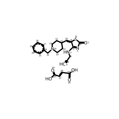 C#CCNC1=NC(=O)SC1=CC1CCN(Cc2ccccc2)CC1.O=C(O)C=CC(=O)O